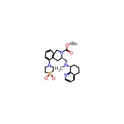 CN(C[C@H]1Cc2c(cccc2N2CCS(=O)(=O)CC2)CN1C(=O)OC(C)(C)C)[C@H]1CCCc2cccnc21